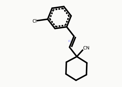 N#CC1(/C=C/c2cccc(Cl)c2)CCCCC1